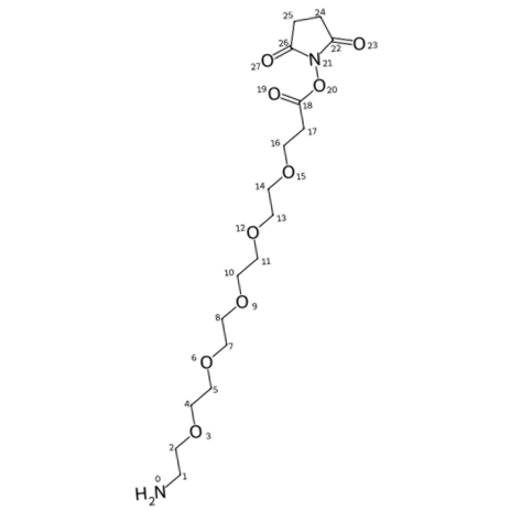 NCCOCCOCCOCCOCCOCCC(=O)ON1C(=O)CCC1=O